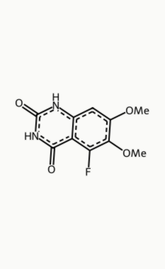 COc1cc2[nH]c(=O)[nH]c(=O)c2c(F)c1OC